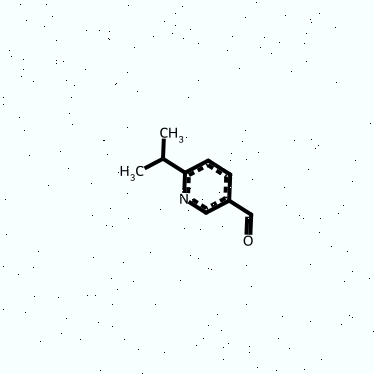 CC(C)c1ccc(C=O)cn1